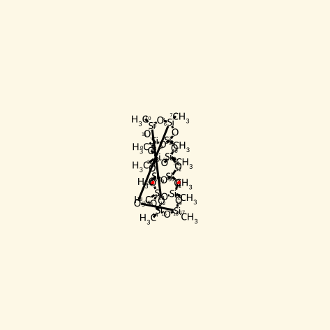 C[Si]12O[Si]3(C)O[Si]4(C)O[Si](C)(O1)O[Si]1(C)O[Si](C)(O4)O[Si]4(C)O[Si](C)(O1)O[Si]1(C)O[Si](C)(O[Si](C)(O[Si](C)(O2)O1)O3)O4